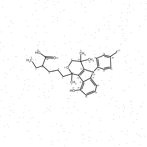 CCC(CCCC1(C)OCC(C)(C)c2c1c1c(O)cccc1n2-c1ccc(F)cc1)C(=O)O